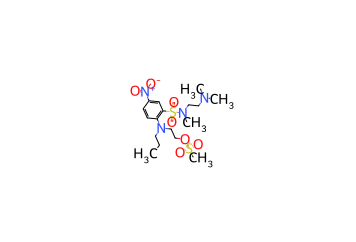 CCCN(CCOS(C)(=O)=O)c1ccc([N+](=O)[O-])cc1S(=O)(=O)N(C)CCN(C)C